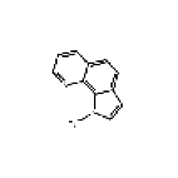 Cn1c[c]c2ccc3cccnc3c21